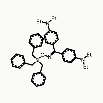 CCN(CC)c1ccc(C(=NO[Si](Cc2ccccc2)(Cc2ccccc2)Cc2ccccc2)c2ccc(N(CC)CC)cc2)cc1